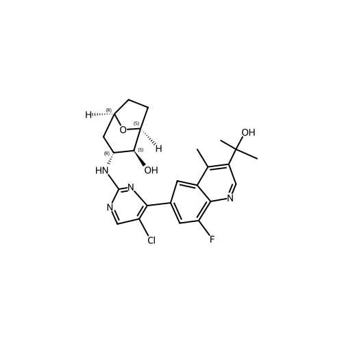 Cc1c(C(C)(C)O)cnc2c(F)cc(-c3nc(N[C@@H]4C[C@H]5CC[C@H](O5)[C@H]4O)ncc3Cl)cc12